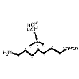 CCCCCCCCCCCCCCCCN.CN(C)C.Cl.Cl